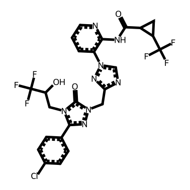 O=C(Nc1ncccc1-n1cnc(Cn2nc(-c3ccc(Cl)cc3)n(CC(O)C(F)(F)F)c2=O)n1)C1CC1C(F)(F)F